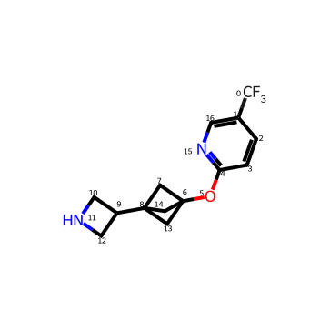 FC(F)(F)c1ccc(OC23CC(C4CNC4)(C2)C3)nc1